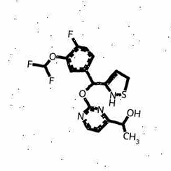 CC(O)c1ccnc(OC(C2=CCSN2)c2ccc(F)c(OC(F)F)c2)n1